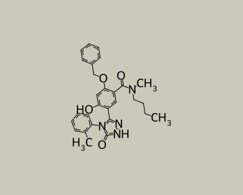 CCCCN(C)C(=O)c1cc(-c2n[nH]c(=O)n2-c2ccccc2C)c(O)cc1OCc1ccccc1